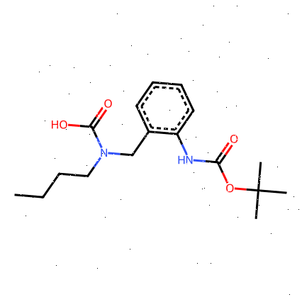 CCCCN(Cc1ccccc1NC(=O)OC(C)(C)C)C(=O)O